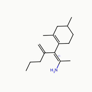 C=C(CCC)/C(C1=C(C)CC(C)CC1)=C(/C)N